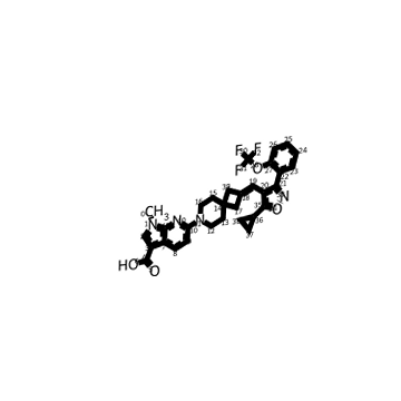 Cn1cc(C(=O)O)c2ccc(N3CCC4(CC3)CC(=Cc3c(-c5ccccc5OC(F)(F)F)noc3C3CC3)C4)nc21